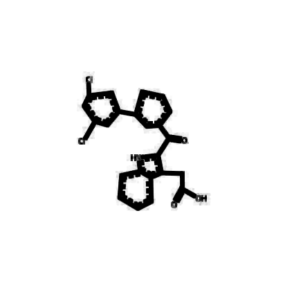 O=C(O)Cc1c(C(=O)c2cccc(-c3cc(Cl)cc(Cl)c3)c2)[nH]c2ccccc12